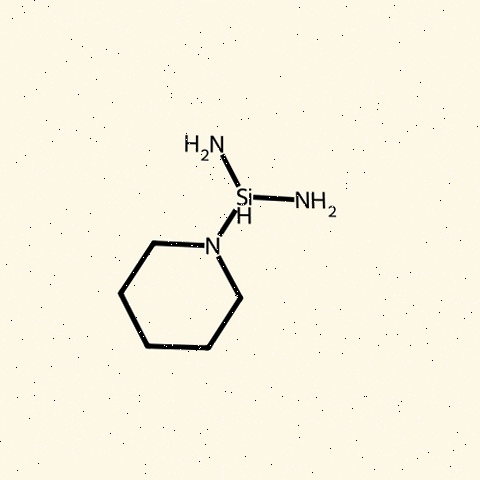 N[SiH](N)N1CCCCC1